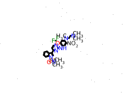 CN(C)CCN(C)c1cc(OC(F)F)c(Nc2nccc(-c3cn([S+]([O-])N(C)C)c4ccccc34)n2)cc1[N+](=O)[O-]